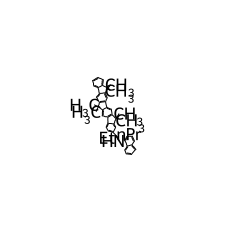 CCCC(CC)(Nc1cccc2ccccc12)c1ccc2c(c1)C(C)(C)c1cc3c(cc1-2)C(C)(C)c1cc2c(cc1-3)C(C)(C)c1ccccc1-2